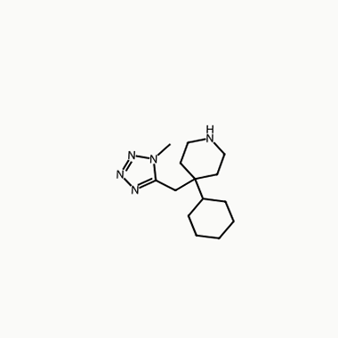 Cn1nnnc1CC1(C2CCCCC2)CCNCC1